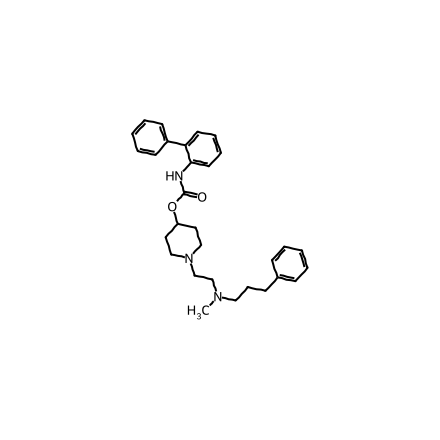 CN(CCCc1ccccc1)CCN1CCC(OC(=O)Nc2ccccc2-c2ccccc2)CC1